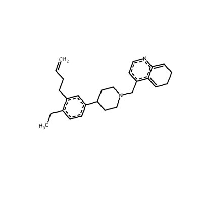 C=CCCc1cc(C2CCN(Cc3ccnc4c3=CCCC=4)CC2)ccc1CC